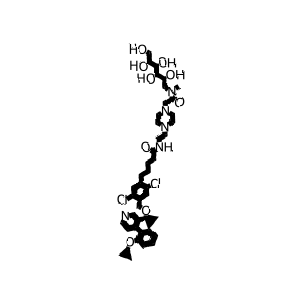 CN(C[C@H](O)[C@@H](O)[C@H](O)[C@H](O)CO)C(=O)CN1CCN(CCNC(=O)CCCCc2cc(Cl)c(COC3(c4cnccc4-c4ccccc4OC4CC4)CC3)cc2Cl)CC1